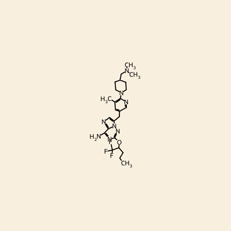 CCCC(Oc1nc(N)c2ncc(Cc3cnc(N4CCC(CN(C)C)CC4)c(C)c3)n2n1)C(F)(F)F